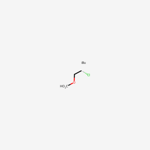 CC[C@H](C)[C@H](Cl)COC(=O)O